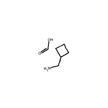 NCC1CCC1.O=CO